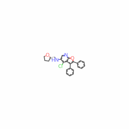 Clc1c(NC[C@@H]2CCCO2)cnc2oc(-c3ccccc3)c(-c3ccccc3)c12